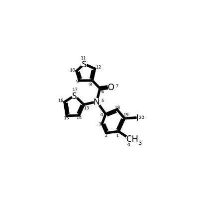 Cc1ccc(N(C(=O)c2ccsc2)c2cccs2)cc1I